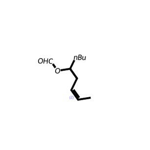 C/C=C\CC(CCCC)OC=O